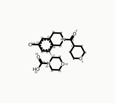 O=C(C1CCOCC1)N1CCc2cc(Cl)cc([C@@H]3COCCN3C(=O)O)c2C1